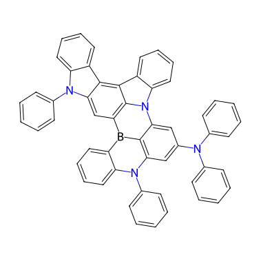 c1ccc(N(c2ccccc2)c2cc3c4c(c2)-n2c5ccccc5c5c6c7ccccc7n(-c7ccccc7)c6cc(c52)B4c2ccccc2N3c2ccccc2)cc1